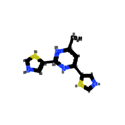 O=C(O)c1cc(-c2cncs2)nc(-c2cncs2)n1